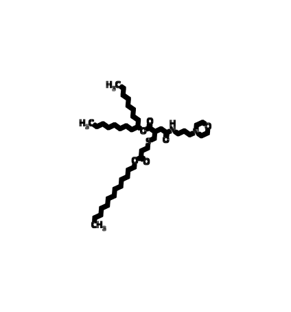 CCCCCCCCCCCCCOC(=O)CCSCC(CC(=O)NCCCN1CCOCC1)C(=O)OC(CCCCCCCC)CCCCCCCC